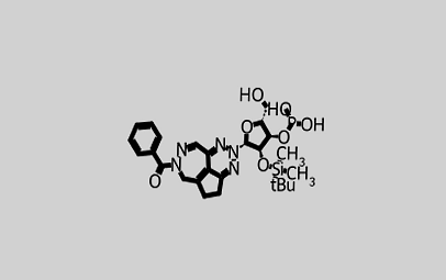 CC(C)(C)[Si](C)(C)O[C@@H]1[C@H](OP(O)O)[C@@H](CO)O[C@H]1N1N=C2C=NN(C(=O)c3ccccc3)CC3=C2C(=N1)CC3